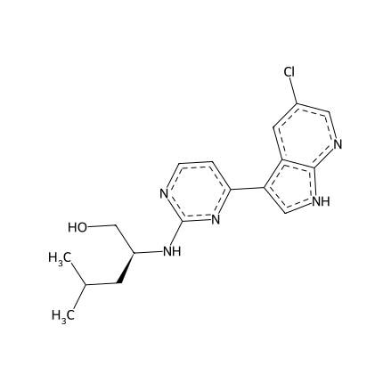 CC(C)C[C@@H](CO)Nc1nccc(-c2c[nH]c3ncc(Cl)cc23)n1